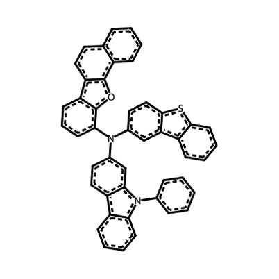 c1ccc(-n2c3ccccc3c3ccc(N(c4ccc5sc6ccccc6c5c4)c4cccc5c4oc4c6ccccc6ccc54)cc32)cc1